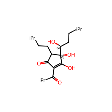 CC(C)CCC1C(=O)C(C(=O)C(C)C)=C(O)[C@@]1(O)[C@@H](O)CCC(C)C